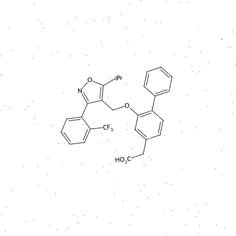 CC(C)c1onc(-c2ccccc2C(F)(F)F)c1COc1cc(CC(=O)O)ccc1-c1ccccc1